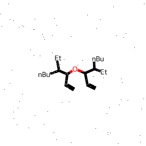 C=CC(OC(C=C)C(CC)CCCC)C(CC)CCCC